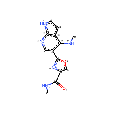 CNC(=O)c1coc(-c2cnc3[nH]ccc3c2NC)n1